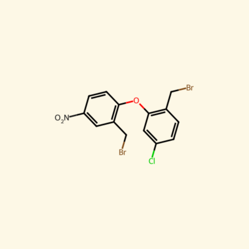 O=[N+]([O-])c1ccc(Oc2cc(Cl)ccc2CBr)c(CBr)c1